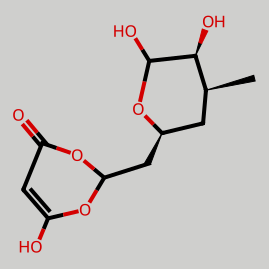 C[C@H]1C[C@@H](CC2OC(=O)C=C(O)O2)OC(O)[C@H]1O